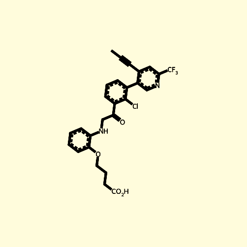 CC#Cc1cc(C(F)(F)F)ncc1-c1cccc(C(=O)CNc2ccccc2OCCCC(=O)O)c1Cl